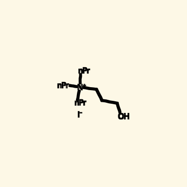 CCC[N+](CCC)(CCC)CCCO.[I-]